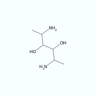 CC(N)C(O)C(O)C(C)N